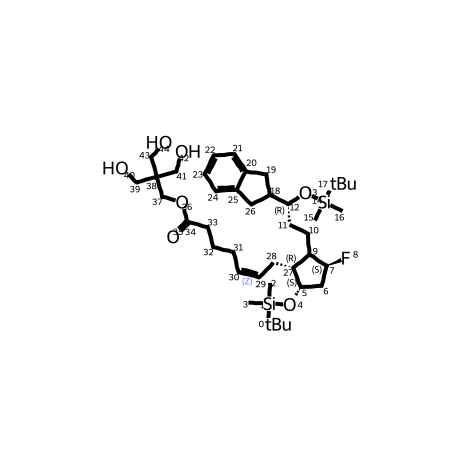 CC(C)(C)[Si](C)(C)O[C@H]1C[C@H](F)C(CC[C@@H](O[Si](C)(C)C(C)(C)C)C2Cc3ccccc3C2)[C@H]1C/C=C\CCCC(=O)OCC(CO)(CO)CO